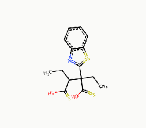 CCC(C(O)=S)C(CC)(C(O)=S)c1nc2ccccc2s1